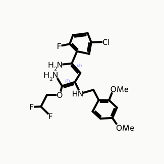 COc1ccc(CNC(/C=C(\N)c2cc(Cl)ccc2F)=C(/N)OCC(F)F)c(OC)c1